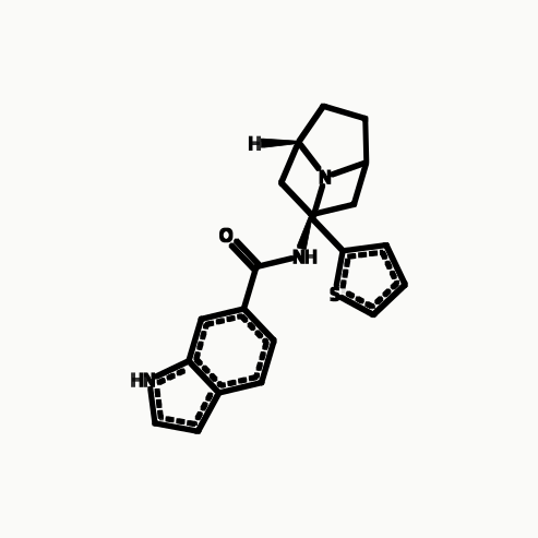 O=C(N[C@@H]1CC2CC[C@@H](C1)N2Cc1cccs1)c1ccc2cc[nH]c2c1